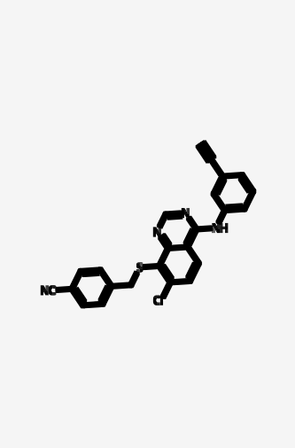 C#Cc1cccc(Nc2ncnc3c(SCc4ccc(C#N)cc4)c(Cl)ccc23)c1